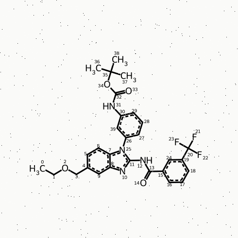 CCOCc1ccc2c(c1)nc(NC(=O)c1cccc(C(F)(F)F)c1)n2-c1cccc(NC(=O)OC(C)(C)C)c1